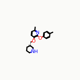 Cc1ccc(Oc2nc(C)ccc2OC[C@H]2CCCNC2)cc1